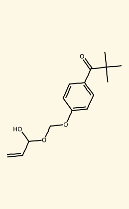 C=CC(O)OCOc1ccc(C(=O)C(C)(C)C)cc1